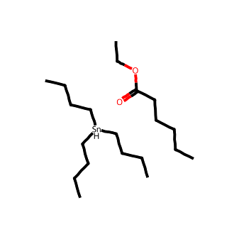 CCCCCC(=O)OCC.CCC[CH2][SnH]([CH2]CCC)[CH2]CCC